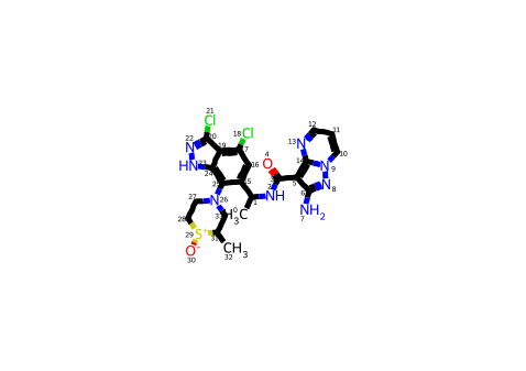 CC(NC(=O)c1c(N)nn2cccnc12)c1cc(Cl)c2c(Cl)n[nH]c2c1N1CC[S+]([O-])C(C)C1